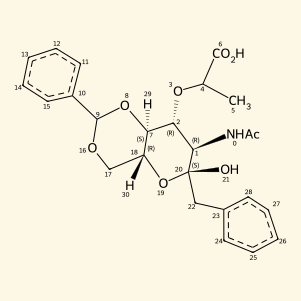 CC(=O)N[C@@H]1[C@@H](OC(C)C(=O)O)[C@@H]2OC(c3ccccc3)OC[C@H]2O[C@@]1(O)Cc1ccccc1